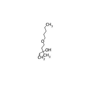 C=CC(C)(O)CCOCCCCC